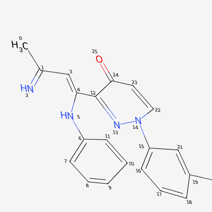 CC(=N)/C=C(\Nc1ccccc1)c1nn(-c2cccc(C(F)(F)F)c2)ccc1=O